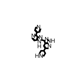 c1cc(-c2nccc3[nH]c(-c4n[nH]c5ncc(C6CCNCC6)cc45)nc23)ccn1